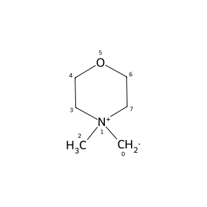 [CH2][N+]1(C)CCOCC1